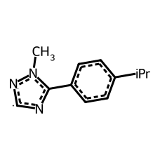 CC(C)c1ccc(-c2n[c]nn2C)cc1